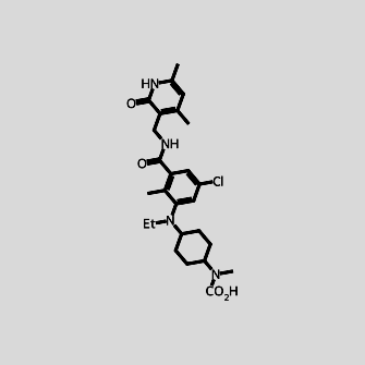 CCN(c1cc(Cl)cc(C(=O)NCc2c(C)cc(C)[nH]c2=O)c1C)C1CCC(N(C)C(=O)O)CC1